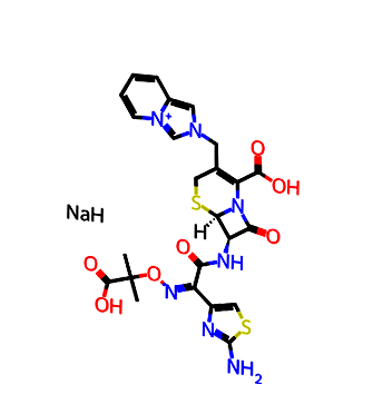 CC(C)(O/N=C(\C(=O)N[C@@H]1C(=O)N2C(C(=O)O)=C(Cn3cc4cccc[n+]4c3)CS[C@H]12)c1csc(N)n1)C(=O)O.[NaH]